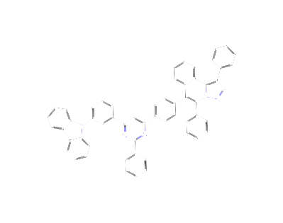 c1ccc(-c2nc(-c3ccc(-c4c(-c5ccccc5)n5ncc(-c6ccccc6)c5c5ccccc45)cc3)cc(-c3cccc(-n4c5ccccc5c5ccccc54)c3)n2)cc1